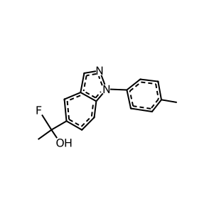 Cc1ccc(-n2ncc3cc(C(C)(O)F)ccc32)cc1